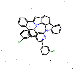 Fc1cccc(-c2cc(-c3cccc(F)c3)nc(-n3c4ccccc4c4ccc5cc6c7ccccc7c7ccccc7n6c5c43)c2)c1